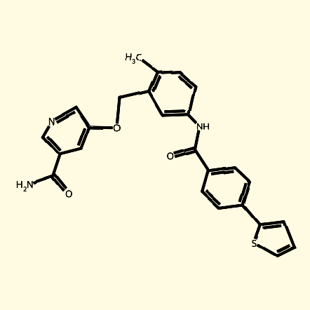 Cc1ccc(NC(=O)c2ccc(-c3cccs3)cc2)cc1COc1cncc(C(N)=O)c1